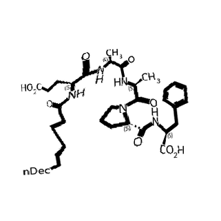 CCCCCCCCCCCCCCCC(=O)N[C@@H](CCC(=O)O)C(=O)N[C@@H](C)C(=O)N[C@@H](C)C(=O)N1CCC[C@H]1C(=O)N[C@@H](Cc1ccccc1)C(=O)O